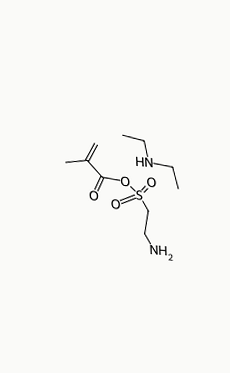 C=C(C)C(=O)OS(=O)(=O)CCN.CCNCC